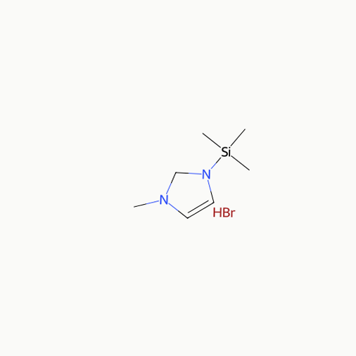 Br.CN1C=CN([Si](C)(C)C)C1